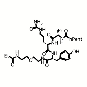 CCCCCC(=O)N[C@H](C(=O)N[C@@H](CCCNC(N)=O)C(=O)N[C@@H](Cc1ccc(O)cc1)C(=O)NCCOCCNC(=O)CC)C(C)C